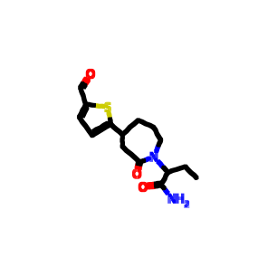 CCC(C(N)=O)N1CCCC(c2ccc(C=O)s2)CC1=O